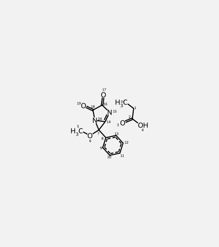 CCC(=O)O.COC1(c2ccccc2)C2=NC(=O)C(=O)N21